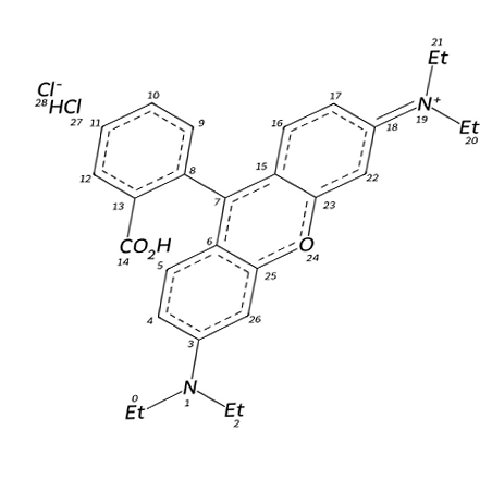 CCN(CC)c1ccc2c(-c3ccccc3C(=O)O)c3ccc(=[N+](CC)CC)cc-3oc2c1.Cl.[Cl-]